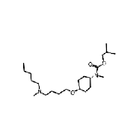 CCCCCN(C)CCCCO[C@H]1CC[C@H](N(C)C(=O)OCC(C)C)CC1